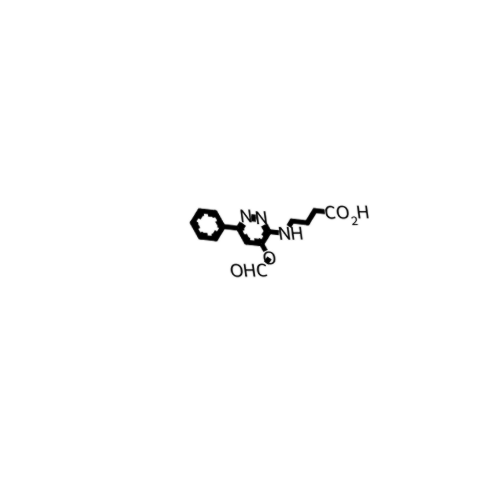 O=COc1cc(-c2ccccc2)nnc1NCCCC(=O)O